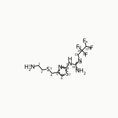 NCCSCc1csc(N/C(N)=N\CC(F)(F)C(F)F)n1